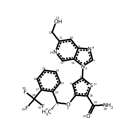 C[C@@H](Oc1cc(-n2cnc3cc(CO)ncc32)sc1C(N)=O)c1ccccc1C(F)(F)F